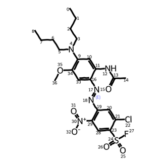 CCCCN(CCCC)c1cc(NC(C)=O)c(/N=N/c2cc(Cl)c(S(=O)(=O)F)cc2[N+](=O)[O-])cc1OC